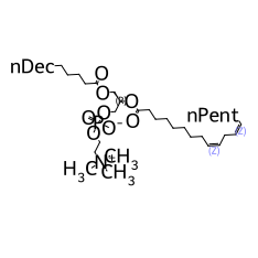 CCCCC/C=C\C/C=C\CCCCCCCC(=O)O[C@H](COC(=O)CCCCCCCCCCCCCC)COP(=O)([O-])OCC[N+](C)(C)C